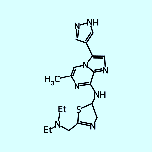 CCN(CC)CC1=NCC(Nc2nc(C)cn3c(-c4cn[nH]c4)cnc23)S1